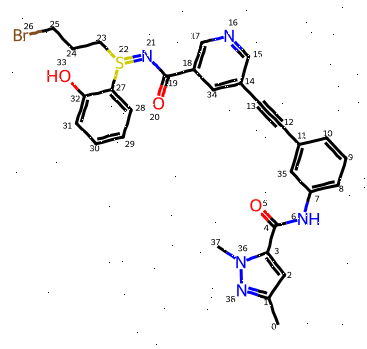 Cc1cc(C(=O)Nc2cccc(C#Cc3cncc(C(=O)N=S(CCCBr)c4ccccc4O)c3)c2)n(C)n1